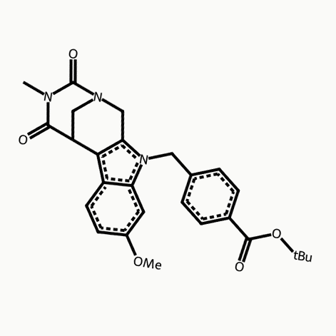 COc1ccc2c3c(n(Cc4ccc(C(=O)OC(C)(C)C)cc4)c2c1)CN1CC3C(=O)N(C)C1=O